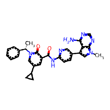 C[C@@H](c1ccccc1)n1cc(C2CC2)cc(C(=O)Nc2ccc(-c3cn(C)c4ncnc(N)c34)cn2)c1=O